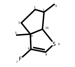 CC1CCC2(C)C(F)=CSC12